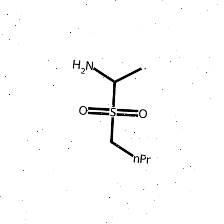 [CH2]C(N)S(=O)(=O)CCCC